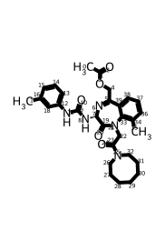 CC(=O)OCC1=N[C@@H](NC(=O)Nc2cccc(C)c2)C(=O)N(CC(=O)N2CCCCCCC2)c2c(C)cccc21